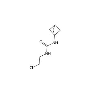 O=C(NCCCl)NC12CC(C1)C2